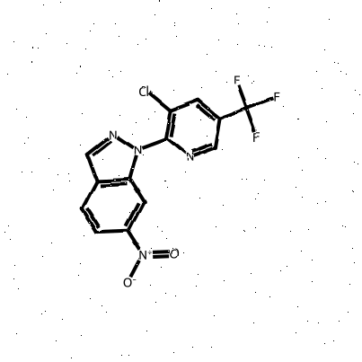 O=[N+]([O-])c1ccc2cnn(-c3ncc(C(F)(F)F)cc3Cl)c2c1